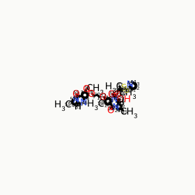 COc1cc2c(cc1OCCCOc1cc3c(cc1C)C(=O)N1C=C(C)C[C@H]1C(O)N3C(=O)OCC(C)(C)SSc1ccccn1)N=C[C@@H]1CC(C)=CN1C2=O